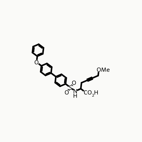 COCC#CCC(NS(=O)(=O)c1ccc(-c2ccc(Oc3ccccc3)cc2)cc1)C(=O)O